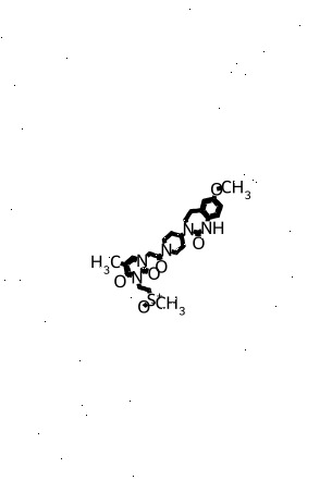 COc1ccc2c(c1)CCN(C1CCN(C(=O)Cn3cc(C)c(=O)n(CC[S+](C)[O-])c3=O)CC1)C(=O)N2